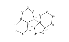 C1CCC2CCCC(C34CCCCC3CCC4)[C]2C1